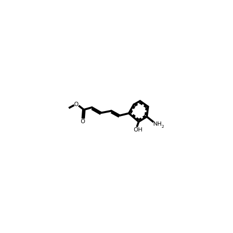 COC(=O)C=CC=Cc1cccc(N)c1O